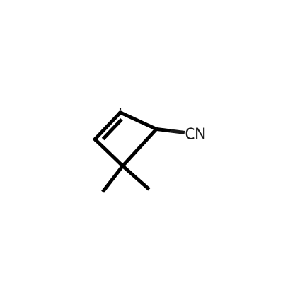 CC1(C)C=[C]C1C#N